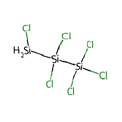 Cl[SiH2][Si](Cl)(Cl)[Si](Cl)(Cl)Cl